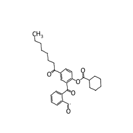 CCCCCCCC(=O)c1ccc(OC(=O)C2CCCCC2)c(C(=O)c2ccccc2[C]=O)c1